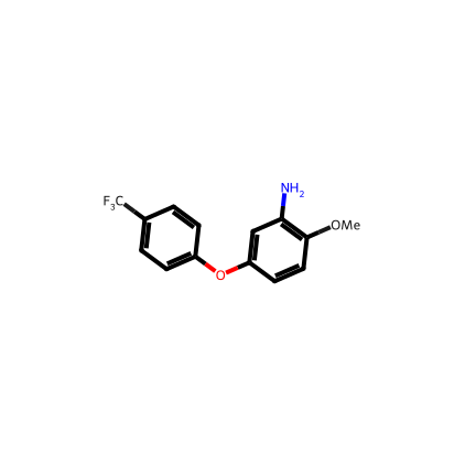 COc1ccc(Oc2ccc(C(F)(F)F)cc2)cc1N